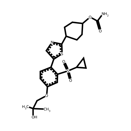 CC(C)(O)COc1ccc(-c2cnc(C3CCC(OC(N)=O)CC3)s2)c(S(=O)(=O)C2CC2)c1